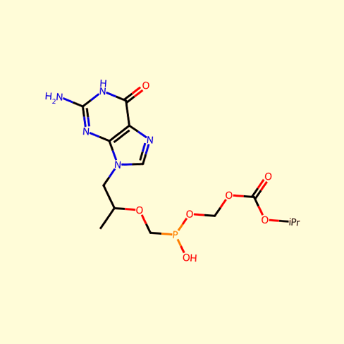 CC(C)OC(=O)OCOP(O)COC(C)Cn1cnc2c(=O)[nH]c(N)nc21